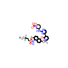 Cc1ccc2c(NS(=O)(=O)CCC(C)(F)F)c(F)ccc2c1Oc1ncccc1-c1ccnc(NC2CCCN(C(=O)O)C2)n1